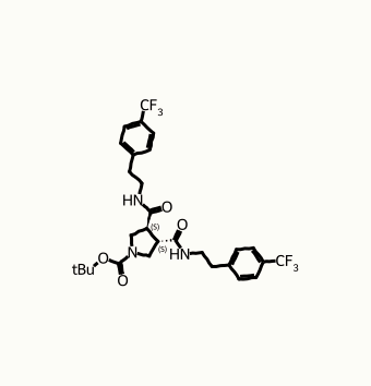 CC(C)(C)OC(=O)N1C[C@@H](C(=O)NCCc2ccc(C(F)(F)F)cc2)[C@H](C(=O)NCCc2ccc(C(F)(F)F)cc2)C1